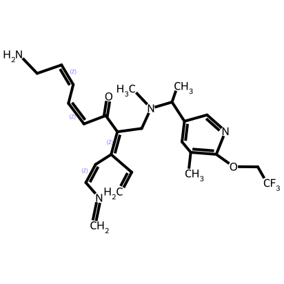 C=CC(/C=C\N=C)=C(\CN(C)C(C)c1cnc(OCC(F)(F)F)c(C)c1)C(=O)/C=C\C=C/CN